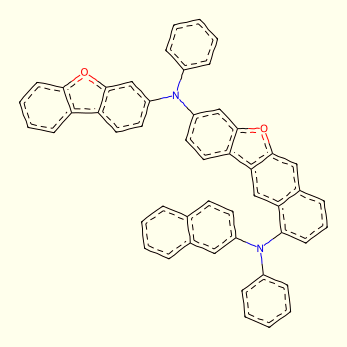 c1ccc(N(c2ccc3c(c2)oc2ccccc23)c2ccc3c(c2)oc2cc4cccc(N(c5ccccc5)c5ccc6ccccc6c5)c4cc23)cc1